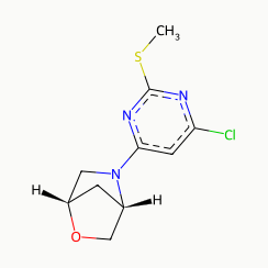 CSc1nc(Cl)cc(N2C[C@@H]3C[C@H]2CO3)n1